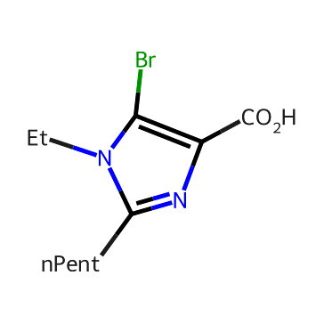 CCCCCc1nc(C(=O)O)c(Br)n1CC